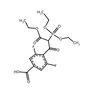 CCOC(=O)C(C(=O)c1c(F)cc(C(=O)O)cc1F)P(=O)(OCC)OCC